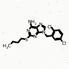 CCCCSc1nc(N)c2ncn(Cc3cc(Cl)ccc3Cl)c2n1